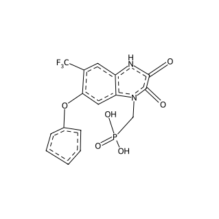 O=c1[nH]c2cc(C(F)(F)F)c(Oc3ccccc3)cc2n(CP(=O)(O)O)c1=O